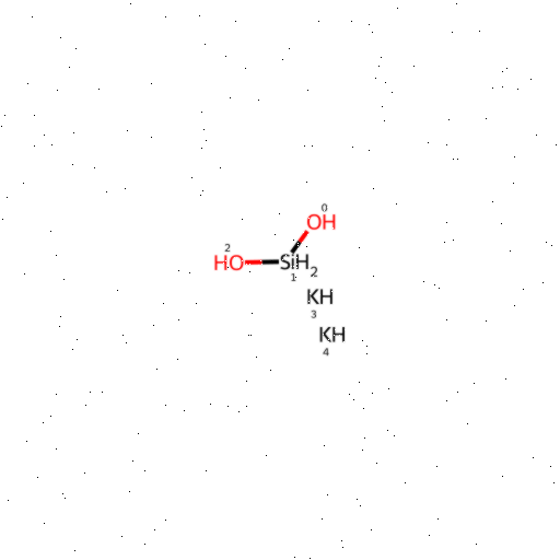 O[SiH2]O.[KH].[KH]